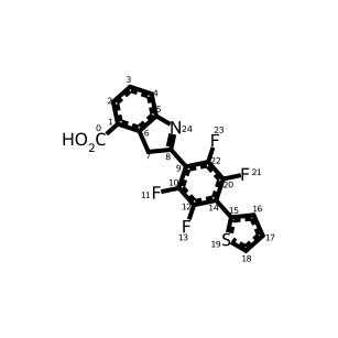 O=C(O)c1cccc2c1CC(c1c(F)c(F)c(-c3cccs3)c(F)c1F)=N2